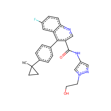 N#CC1(c2ccc(-c3c(C(=O)Nc4cnn(CCO)c4)cnc4ccc(F)cc34)cc2)CC1